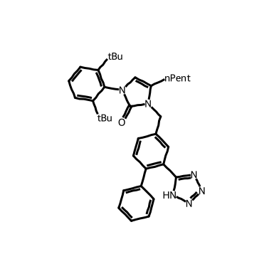 CCCCCc1cn(-c2c(C(C)(C)C)cccc2C(C)(C)C)c(=O)n1Cc1ccc(-c2ccccc2)c(-c2nnn[nH]2)c1